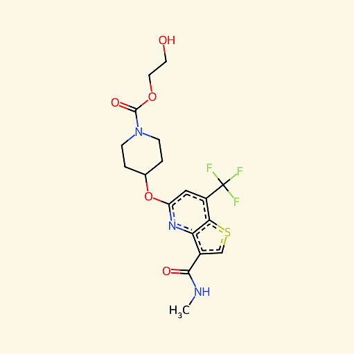 CNC(=O)c1csc2c(C(F)(F)F)cc(OC3CCN(C(=O)OCCO)CC3)nc12